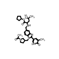 CC(=O)N1CCC(Cn2c(-c3c[nH]c(=O)c(C)c3)nc3cc(CNC(CC(C)C)C(=O)OC4CCCC4)ccc32)C1